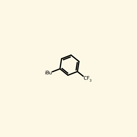 CCC(C)c1cccc(C(F)(F)F)c1